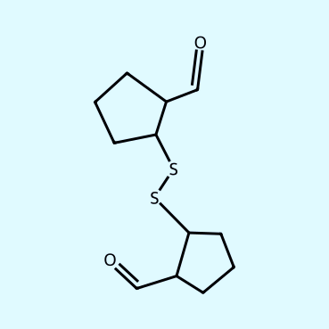 O=CC1CCCC1SSC1CCCC1C=O